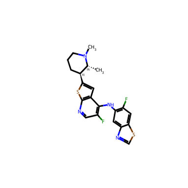 C[C@@H]1[C@@H](c2cc3c(Nc4cc5ncsc5cc4F)c(F)cnc3s2)CCCN1C